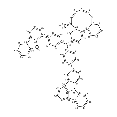 C=C1/C=C\C=C/CC2CC=CC=C2C2=CC=C(N(c3ccc(-c4ccc5c(c4)c4cccc6c7ccccc7n5c64)cc3)c3ccc(-c4cccc5c4oc4ccccc45)cc3)CC12